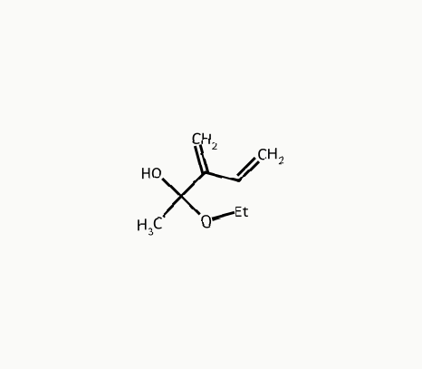 C=CC(=C)C(C)(O)OCC